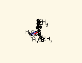 C=Cc1ccccc1-c1ccc(-c2ccc(N(C(=C)\C=C/C(=C\C)C(/C)=C/C=C\CC)c3cccc(-c4cccc5c4c4ccccc4n5-c4ccc5c(c4)C(C)(C)c4ccccc4-5)c3)cc2)cc1C